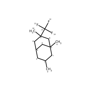 CC1CC2CC(C)(C1)CC(C)(C(F)(F)F)C2